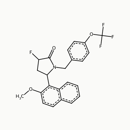 COc1ccc2ccccc2c1C1CC(F)C(=O)N1Cc1ccc(OC(F)(F)F)cc1